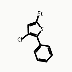 CCc1cc(Cl)c(-c2ccccc2)s1